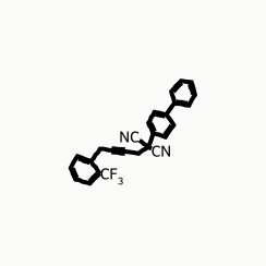 N#CC(C#N)(CC#CCc1ccccc1C(F)(F)F)c1ccc(-c2ccccc2)cc1